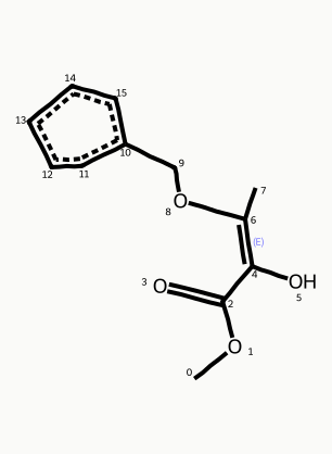 COC(=O)/C(O)=C(/C)OCc1ccccc1